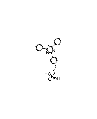 O=P(O)(O)CCCc1ccc(-c2nc(-c3ccccc3)nc(-c3ccccc3)n2)cc1